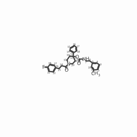 Cc1cccc(CCNC(=O)OC2(c3ccccc3)CCN(C(=O)CCc3ccc(F)cc3)CC2)c1